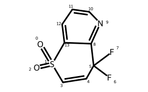 O=S1(=O)C=CC(F)(F)c2ncccc21